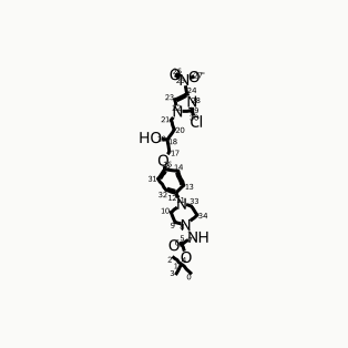 CC(C)(C)OC(=O)NN1CCN(c2ccc(OCC(O)CCn3cc([N+](=O)[O-])nc3Cl)cc2)CC1